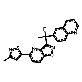 Cc1cc(-c2ccc3onc(C(C)(F)c4ccc5ncccc5c4)c3n2)sn1